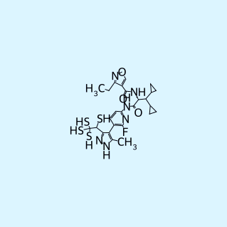 CCc1nocc1C(=O)N[C@H](C(=O)Nc1ccc(-c2c(C(S)C(S)(S)S)n[nH]c2C)c(F)n1)C(C1CC1)C1CC1